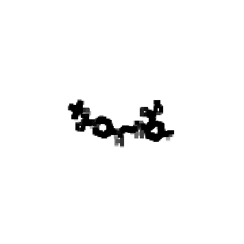 COC(=O)c1cc(F)ccc1NCCNC1CCN(C(=O)OC(C)(C)C)CC1